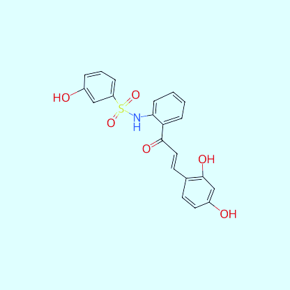 O=C(/C=C/c1ccc(O)cc1O)c1ccccc1NS(=O)(=O)c1cccc(O)c1